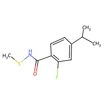 CSNC(=O)c1ccc(C(C)C)cc1F